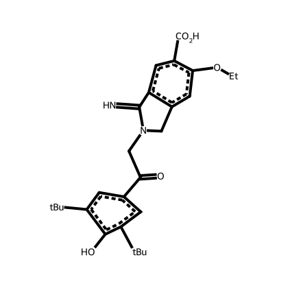 CCOc1cc2c(cc1C(=O)O)C(=N)N(CC(=O)c1cc(C(C)(C)C)c(O)c(C(C)(C)C)c1)C2